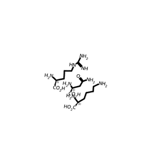 N=C(N)NCCC[C@H](N)C(=O)O.NC(=O)C[C@H](N)C(=O)O.NCCCC[C@H](N)C(=O)O